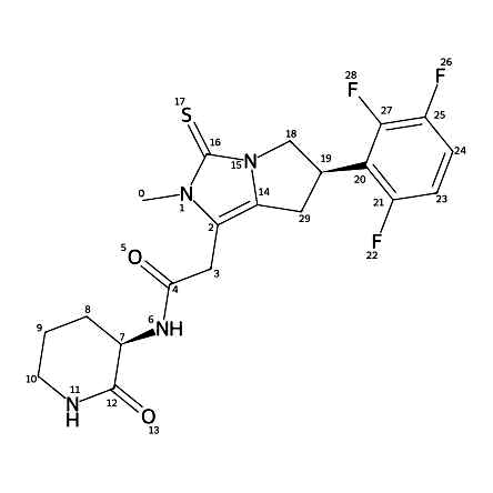 Cn1c(CC(=O)N[C@@H]2CCCNC2=O)c2n(c1=S)C[C@@H](c1c(F)ccc(F)c1F)C2